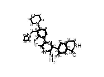 Nc1nc(F)c(-c2ccc(N3CCOCC3)c(CN3CCC3)c2F)nc1-c1cc2c(cc1F)C(=O)NCC2